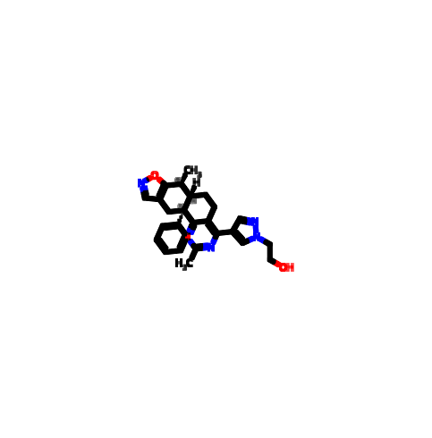 Cc1nc(-c2cnn(CCO)c2)c2c(n1)[C@@]1(c3ccccc3)Cc3cnoc3[C@@H](C)[C@@H]1CC2